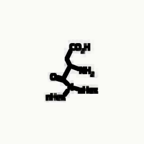 CCCCCCN(CCCCCC)C(=O)C(N)CC(=O)O